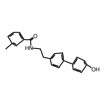 Cc1cccc(C(=O)NCCc2ccc(-c3ccc(O)cc3)cc2)c1